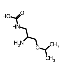 CC(C)OCC(N)CNC(=O)O